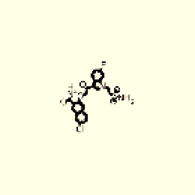 NC(=O)c1cc2cc(Cl)ccc2cc1OCC(=O)c1cn(CCS(N)(=O)=O)c2cc(F)ccc12